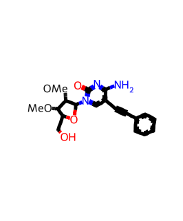 COC1C(CO)OC(n2cc(C#Cc3ccccc3)c(N)nc2=O)C1OC